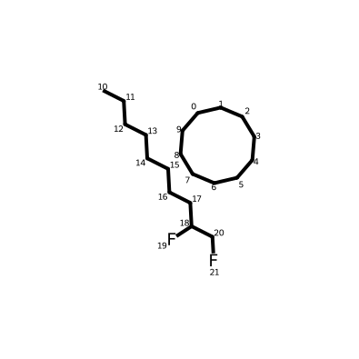 C1CCCCCCCCC1.CCCCCCCCC(F)CF